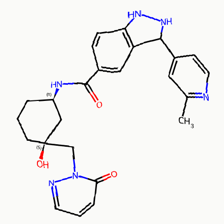 Cc1cc(C2NNc3ccc(C(=O)N[C@@H]4CCC[C@@](O)(Cn5ncccc5=O)C4)cc32)ccn1